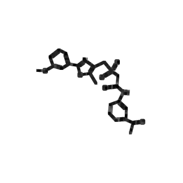 COc1cccc(-c2nc(CS(=O)(=O)CC(=O)Nc3cccc(C(C)=O)c3)c(C)o2)c1